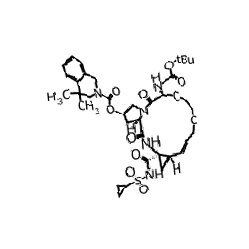 CC(C)(C)OC(=O)N[C@H]1CCCCC/C=C/[C@@H]2C[C@@]2(C(=O)NS(=O)(=O)C2CC2)NC(=O)[C@@H]2C[C@@H](OC(=O)N3Cc4ccccc4C(C)(C)C3)CN2C1=O